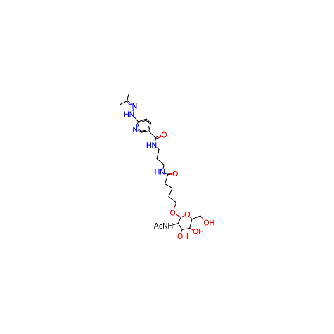 CC(=O)NC1C(OCCCCC(=O)NCCCNC(=O)c2ccc(NN=C(C)C)nc2)OC(CO)C(O)C1O